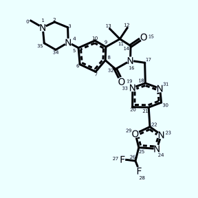 CN1CCN(c2ccc3c(c2)C(C)(C)C(=O)N(Cc2ncc(-c4nnc(C(F)F)o4)cn2)C3=O)CC1